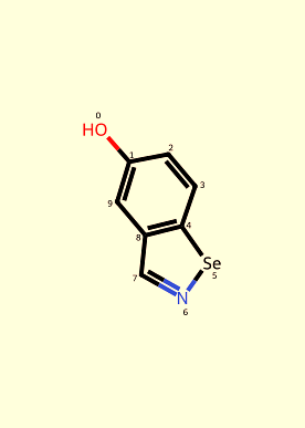 Oc1ccc2[se]ncc2c1